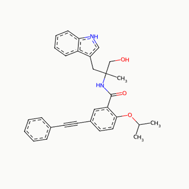 CC(C)Oc1ccc(C#Cc2ccccc2)cc1C(=O)NC(C)(CO)Cc1c[nH]c2ccccc12